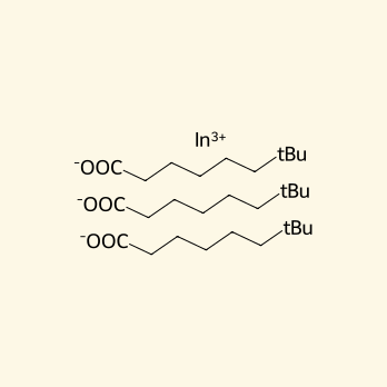 CC(C)(C)CCCCCC(=O)[O-].CC(C)(C)CCCCCC(=O)[O-].CC(C)(C)CCCCCC(=O)[O-].[In+3]